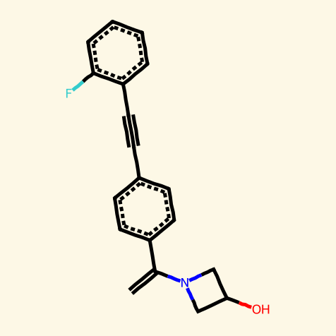 C=C(c1ccc(C#Cc2ccccc2F)cc1)N1CC(O)C1